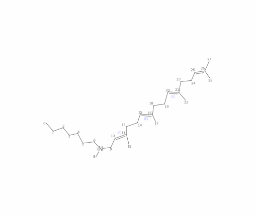 CCCCCCCN(C)C/C=C(\C)CC/C=C(\C)CC/C=C(\C)CCC=C(C)C